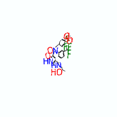 Cc1[nH]c(=O)c(C(=O)N(Cc2ccc(S(C)(=O)=O)cc2)c2cccc(C(F)(F)F)c2)cc1CNCC(C)O